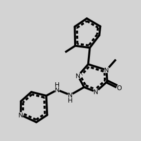 Cc1ccccc1-c1nc(NNc2ccncc2)nc(=O)n1C